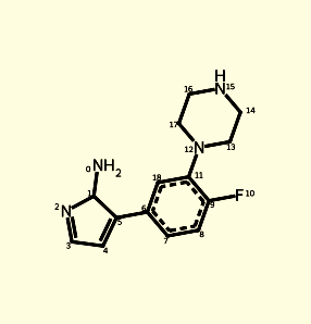 NC1N=CC=C1c1ccc(F)c(N2CCNCC2)c1